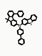 CC1(C)c2ccc(N(c3ccc(-c4ccccc4)cc3)c3ccc4c(c3)sc3ccccc34)cc2-c2c(-c3ccccc3)cccc21